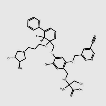 CC(CO)(NCc1cc(Cl)c(OCC2(OCCCN3C[C@@H](O)[C@H](O)C3)C=CC=C(c3ccccc3)C2(Cl)Cl)cc1OCc1cncc(C#N)c1)C(=O)O